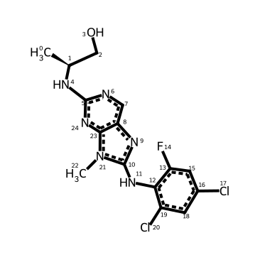 C[C@@H](CO)Nc1ncc2nc(Nc3c(F)cc(Cl)cc3Cl)n(C)c2n1